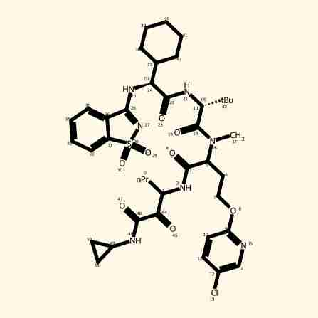 CCCC(NC(=O)C(CCOc1ccc(Cl)cn1)N(C)C(=O)[C@H](NC(=O)[C@@H](NC1=NS(=O)(=O)c2ccccc21)C1CCCCC1)C(C)(C)C)C(=O)C(=O)NC1CC1